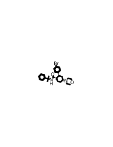 CC(C)(NC(=O)[C@@H]1CC[C@@H](N2CCOCC2)C[C@H]1c1ccc(Br)cc1)c1ccccc1